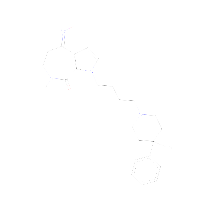 CN1CC/C(=N/O)C2C=CN(CCCCN3CCC(C#N)(c4ccccc4)CC3)C2C1=O